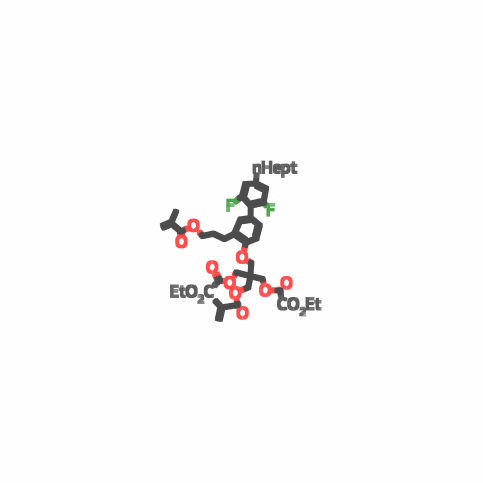 C=C(C)C(=O)OCCCc1cc(-c2c(F)cc(CCCCCCC)cc2F)ccc1OCC(COC(=O)C(=C)C)(COC(=O)C(=O)OCC)COC(=O)C(=O)OCC